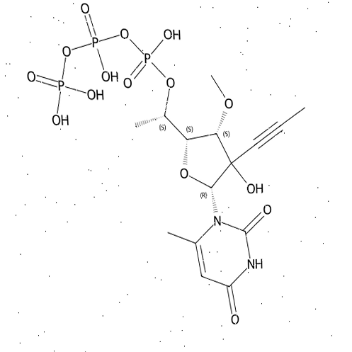 CC#CC1(O)[C@@H](OC)[C@@H]([C@H](C)OP(=O)(O)OP(=O)(O)OP(=O)(O)O)O[C@H]1n1c(C)cc(=O)[nH]c1=O